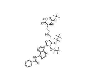 CC(C)(C)OC(=O)NC(CCNC[C@H]1O[C@@H](n2cnc3c(NC(=O)c4ccccc4)ncnc32)[C@H](O[Si](C)(C)C(C)(C)C)[C@@H]1O[Si](C)(C)C(C)(C)C)C(=O)O